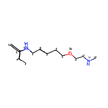 C=C(CC)NCCCCCOCCNC